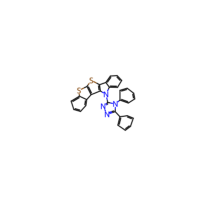 c1ccc(-c2nnc(-n3c4ccccc4c4sc5sc6ccccc6c5c43)n2-c2ccccc2)cc1